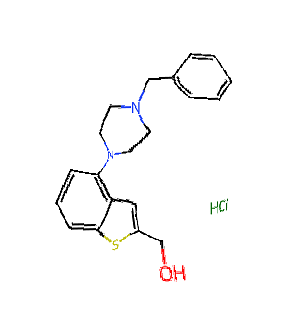 Cl.OCc1cc2c(N3CCN(Cc4ccccc4)CC3)cccc2s1